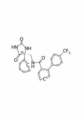 O=C1NC(=O)[C@](CNC(=O)c2ccccc2-c2ccc(C(F)(F)F)cc2)(c2ccccc2)N1